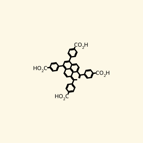 C=C(c1ccc(C(=O)O)cc1)c1ccc2c(-c3ccc(C(=O)O)cc3)cc(-c3ccc(C(=O)O)cc3)c3cc/c(=C(/C)c4ccc(C(=O)O)cc4)c1c23